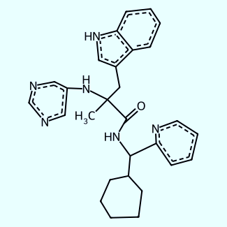 CC(Cc1c[nH]c2ccccc12)(Nc1cncnc1)C(=O)NC(c1ccccn1)C1CCCCC1